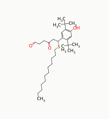 CCCCCCCCCCCCSC(CC(=O)CCC=O)c1cc(C(C)(C)C)c(O)cc1C(C)(C)C